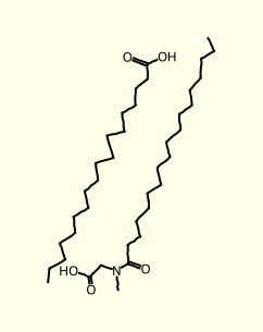 CCCCCCCCCCCCCCCCCC(=O)N(C)CC(=O)O.CCCCCCCCCCCCCCCCCC(=O)O